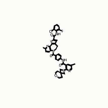 Cc1cnc(N2CC3(CCOCC3)C2)c(C(=O)Nc2ccc(C(=O)N3CCc4cc(C(=O)Nc5c(F)cccc5Cl)sc4-c4nc(C)ccc43)cc2)c1